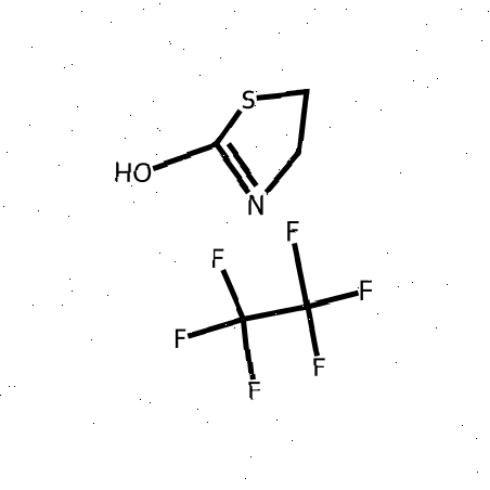 FC(F)(F)C(F)(F)F.OC1=NCCS1